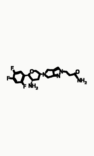 NC(=O)CCn1cc2c(n1)CN([C@H]1CO[C@H](c3cc(F)c(F)cc3F)[C@@H](N)C1)C2